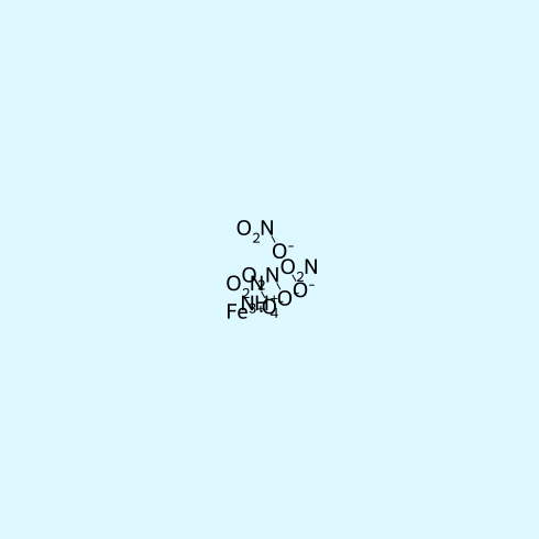 O=[N+]([O-])[O-].O=[N+]([O-])[O-].O=[N+]([O-])[O-].O=[N+]([O-])[O-].[Fe+3].[NH4+]